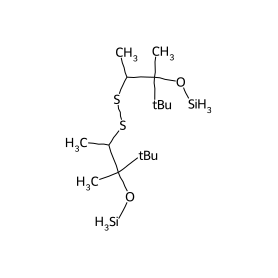 CC(SSC(C)C(C)(O[SiH3])C(C)(C)C)C(C)(O[SiH3])C(C)(C)C